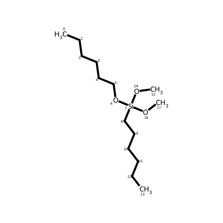 CCCCCCO[Si](CCCCCC)(OC)OC